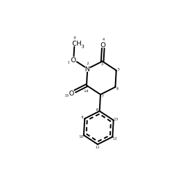 CON1C(=O)CCC(c2ccccc2)C1=O